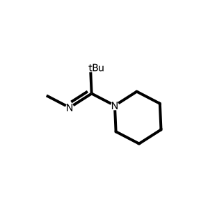 CN=C(N1CCCCC1)C(C)(C)C